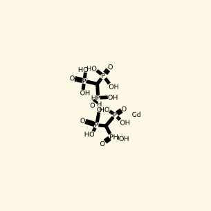 O=[PH](O)C(P(=O)(O)O)P(=O)(O)O.O=[PH](O)C(P(=O)(O)O)P(=O)(O)O.[Gd]